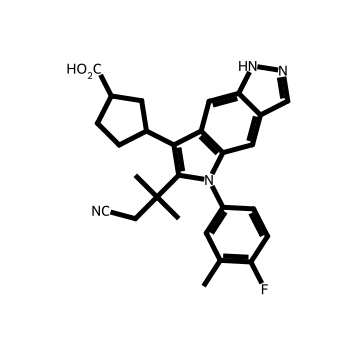 Cc1cc(-n2c(C(C)(C)CC#N)c(C3CCC(C(=O)O)C3)c3cc4[nH]ncc4cc32)ccc1F